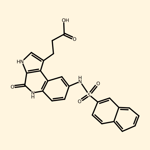 O=C(O)CCc1c[nH]c2c(=O)[nH]c3ccc(NS(=O)(=O)c4ccc5ccccc5c4)cc3c12